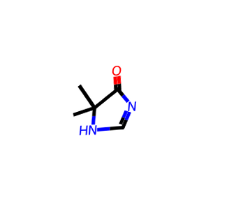 CC1(C)NC=NC1=O